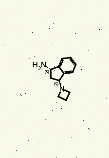 N[C@H]1C[C@H](N2CCC2)c2ccccc21